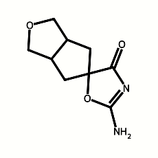 NC1=NC(=O)C2(CC3COCC3C2)O1